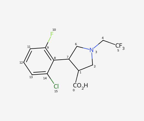 O=C(O)C1CN(CC(F)(F)F)CC1c1c(F)cccc1Cl